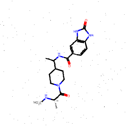 CC(NC(=O)c1ccc2[nH]c(=O)[nH]c2c1)C1CCN(C(=O)[C@H](C)NC(=O)O)CC1